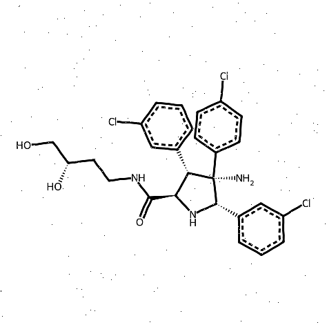 N[C@]1(c2ccc(Cl)cc2)[C@H](c2cccc(Cl)c2)N[C@@H](C(=O)NCC[C@H](O)CO)[C@@H]1c1cccc(Cl)c1